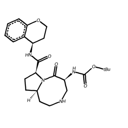 CC(C)(C)OC(=O)N[C@H]1CNCC[C@H]2CC[C@@H](C(=O)N[C@@H]3CCOc4ccccc43)N2C1=O